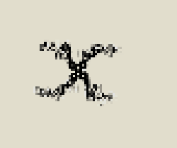 CCOC(=O)CN(CC(=O)OCC)CC(O)COc1ccc(C(c2ccc(OCC(O)CN(CC(=O)OCC)CC(=O)OCC)cc2)C(c2ccc(OCC(O)CN(CC(=O)OCC)CC(=O)OCC)cc2)c2ccc(OCC(O)CN(CC(=O)OCC)CC(=O)OCC)cc2)cc1